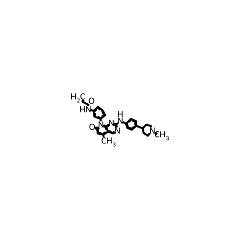 C=CC(=O)Nc1cccc(-n2c(=O)cc(C)c3cnc(Nc4ccc(C5CCN(C)CC5)cc4)nc32)c1